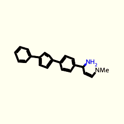 CN/C=C\C(N)c1ccc(-c2ccc(-c3ccccc3)cc2)cc1